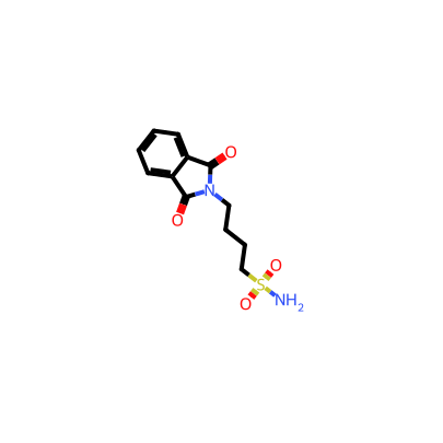 NS(=O)(=O)CCCCN1C(=O)c2ccccc2C1=O